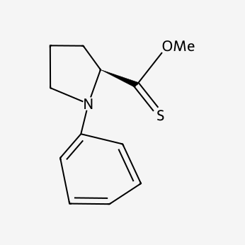 COC(=S)[C@@H]1CCCN1c1ccccc1